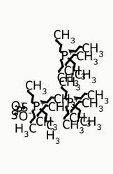 CCCC[P+](CCCC)(CCCC)C(CC)(CC)CCC.CCCC[P+](CCCC)(CCCC)C(CC)(CC)CCC.CCCC[P+](CCCC)(CCCC)C(CC)(CC)CCC.[O-]P([O-])(=S)[S-]